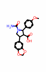 COc1ccc(C2C(C(=O)O)C(c3ccc4c(c3)OCO4)CN2C(N)=O)cc1